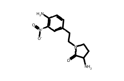 Nc1ccc(CCN2CCC(N)C2=O)cc1[N+](=O)[O-]